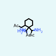 CC(=O)C(N)C1CCCCC1(C(N)C(C)=O)C(N)C(C)=O